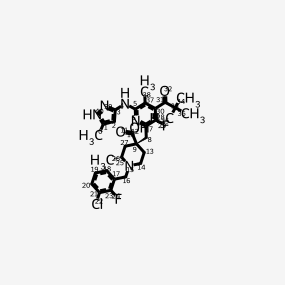 Cc1cc(Nc2nc(C[C@@]3(C(=O)O)CCN(Cc4cccc(Cl)c4F)[C@H](C)C3)c(F)c(C(=O)C(C)(C)C)c2C)n[nH]1